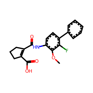 COc1c(NC(=O)C2=C(C(=O)O)CCC2)ccc(-c2ccccc2)c1F